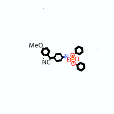 COc1ccc(C(C#N)=C2C=CC(=NOP(=O)(Oc3ccccc3)Oc3ccccc3)C=C2)cc1